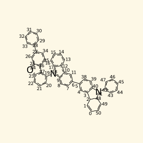 C1=CC2c3cc(-c4ccc5c(c4)c4ccccc4n5-c4cccc5oc6cc(-c7ccccc7)ccc6c45)ccc3N(c3ccccc3)C2C=C1